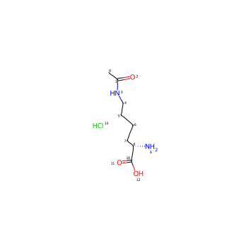 CC(=O)NCCCC[C@H](N)C(=O)O.Cl